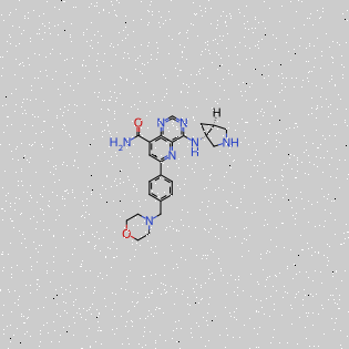 NC(=O)c1cc(-c2ccc(CN3CCOCC3)cc2)nc2c(N[C@@]34CNC[C@@H]3C4)ncnc12